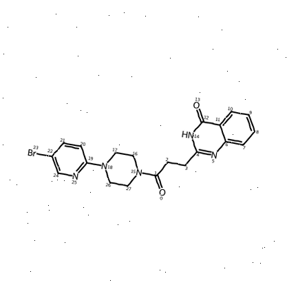 O=C(CCc1nc2ccccc2c(=O)[nH]1)N1CCN(c2ccc(Br)cn2)CC1